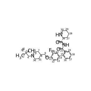 CC(C)(F)CN1CCC(COc2ccc(-c3ccccc3C(=O)NC(=O)[C@H]3CCCCN3)cc2F)CC1